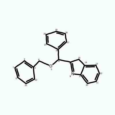 c1ccc(COC(C2=Nc3ccccc3C2)c2ccccc2)cc1